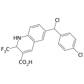 O=C(O)C1=Cc2cc(C(Cl)c3ccc(Cl)cc3)ccc2NC1C(F)(F)F